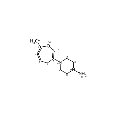 CC1=C=CCC(N2CCN(N)CC2)=NO1